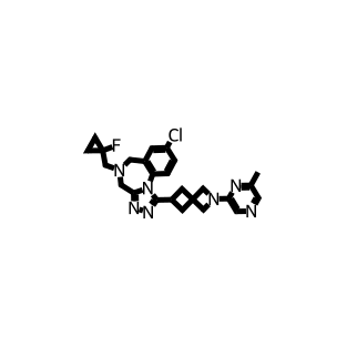 Cc1cncc(N2CC3(CC(c4nnc5n4-c4ccc(Cl)cc4CN(CC4(F)CC4)C5)C3)C2)n1